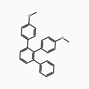 COc1ccc(-c2cccc(-c3ccccc3)c2-c2ccc(OC)cc2)cc1